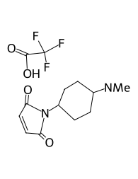 CNC1CCC(N2C(=O)C=CC2=O)CC1.O=C(O)C(F)(F)F